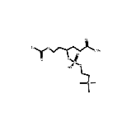 CCC(C)C(=O)OCCC(CCC(=O)OC)OP(=O)(O)OCC[N+](C)(C)C